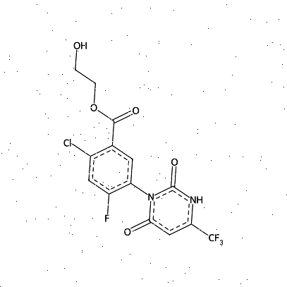 O=C(OCCO)c1cc(-n2c(=O)cc(C(F)(F)F)[nH]c2=O)c(F)cc1Cl